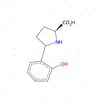 O=C(O)[C@@H]1CCC(c2ccccc2O)N1